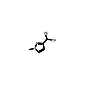 Cn1ccc(C(O)O)n1